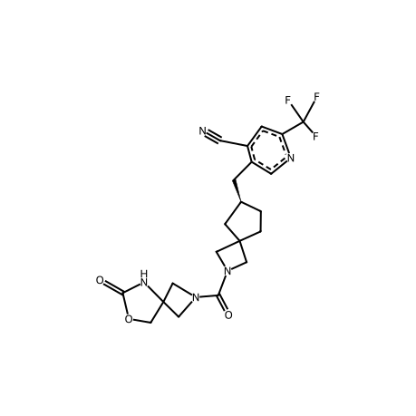 N#Cc1cc(C(F)(F)F)ncc1C[C@H]1CCC2(C1)CN(C(=O)N1CC3(COC(=O)N3)C1)C2